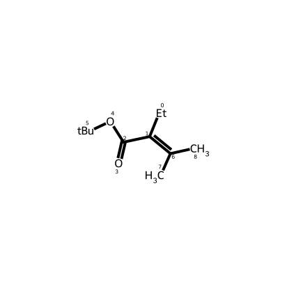 CCC(C(=O)OC(C)(C)C)=C(C)C